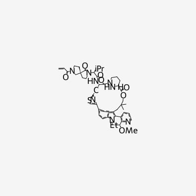 C=CC(=O)N1CC[C@@]2(CCN(C(C(=O)N[C@H]3Cc4nc(cs4)-c4ccc5c(c4)c(c(-c4cccnc4[C@H](C)OC)n5CC)CC(C)(C)COC(=O)[C@@H]4CCCN(N4)C3=O)C(C)C)C2=O)C1